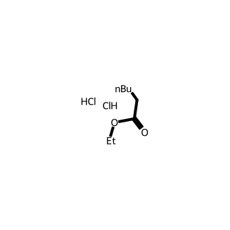 CCCCCC(=O)OCC.Cl.Cl